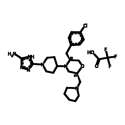 Nc1nnc(N2CCC(N3C[C@H](CN4CCCCC4)OC[C@@H]3Cc3ccc(Cl)cc3)CC2)[nH]1.O=C(O)C(F)(F)F